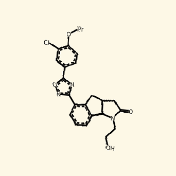 CC(C)Oc1ccc(-c2nc(-c3cccc4c3CC3CC(=O)N(CCO)C43)no2)cc1Cl